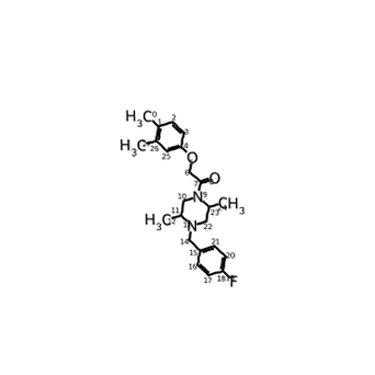 Cc1ccc(OCC(=O)N2CC(C)N(Cc3ccc(F)cc3)CC2C)cc1C